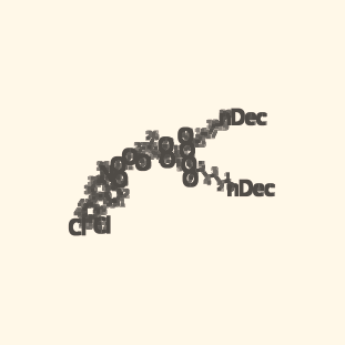 CCCCCCCCCCCCCCCC(=O)OCC(COC(=O)CCCCCCCCCCCCCCC)OC(=O)CC(C)CC(=O)OCOC(=O)N(C)[C@H]1CCC(c2ccc(Cl)c(Cl)c2)c2ccccc21